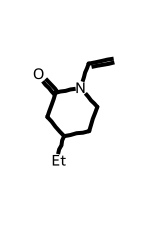 C=CN1CCC(CC)CC1=O